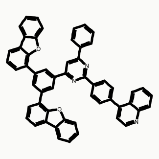 c1ccc(-c2cc(-c3cc(-c4cccc5c4oc4ccccc45)cc(-c4cccc5c4oc4ccccc45)c3)nc(-c3ccc(-c4ccnc5ccccc45)cc3)n2)cc1